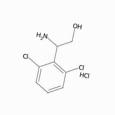 Cl.NC(CO)c1c(Cl)cccc1Cl